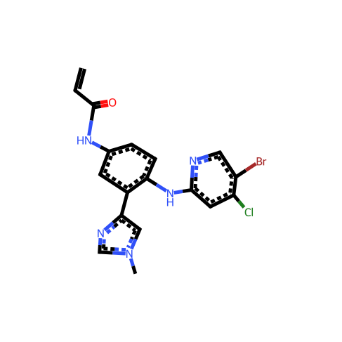 C=CC(=O)Nc1ccc(Nc2cc(Cl)c(Br)cn2)c(-c2cn(C)cn2)c1